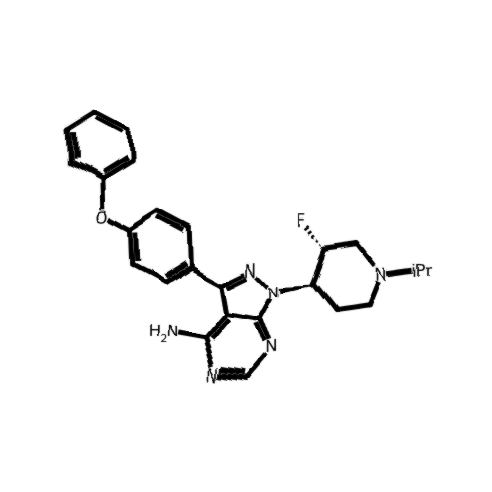 CC(C)N1CC[C@@H](n2nc(-c3ccc(Oc4ccccc4)cc3)c3c(N)ncnc32)[C@H](F)C1